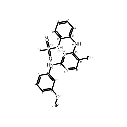 CCCOc1cccc(Nc2ncc(F)c(Nc3ccccc3NS(C)(=O)=O)n2)c1